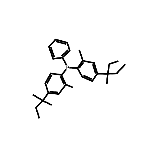 CCC(C)(C)c1ccc(P(c2ccccc2)c2ccc(C(C)(CC)CC)cc2C)c(C)c1